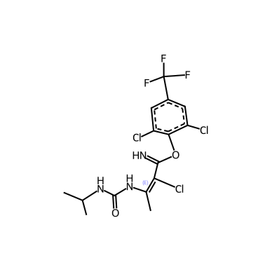 C/C(NC(=O)NC(C)C)=C(\Cl)C(=N)Oc1c(Cl)cc(C(F)(F)F)cc1Cl